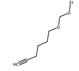 C#CCCCCOCOCC